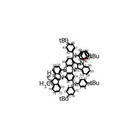 CC(C)(C)c1ccc(N(c2ccc(C(C)(C)C)cc2)c2cc3c4c(c2)-n2c5c(c6cccc(c62)B4c2ccc(N(c4ccc(C(C)(C)C)cc4)c4ccc(C(C)(C)C)cc4)c4c2N3C2c3ccccc3N(c3ccccc3)C42)C(C)(C)c2ccccc2-5)cc1